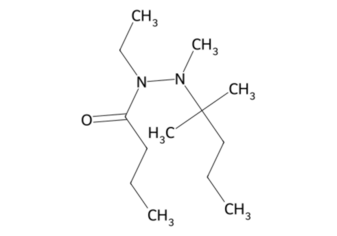 CCCC(=O)N(CC)N(C)C(C)(C)CCC